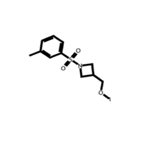 Cc1cccc(S(=O)(=O)N2CC(COI)C2)c1